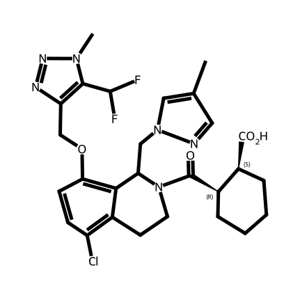 Cc1cnn(CC2c3c(OCc4nnn(C)c4C(F)F)ccc(Cl)c3CCN2C(=O)[C@@H]2CCCC[C@@H]2C(=O)O)c1